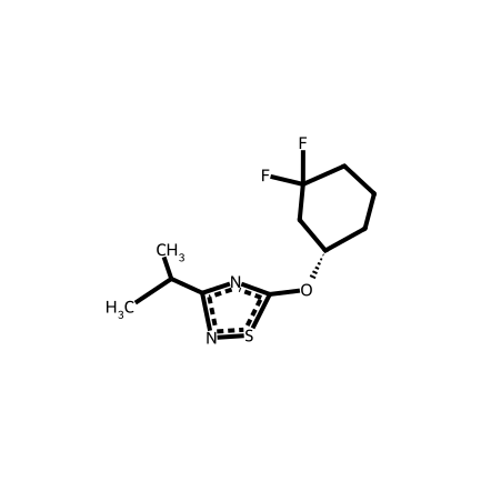 CC(C)c1nsc(O[C@H]2CCCC(F)(F)C2)n1